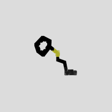 CSCCSc1ccccc1